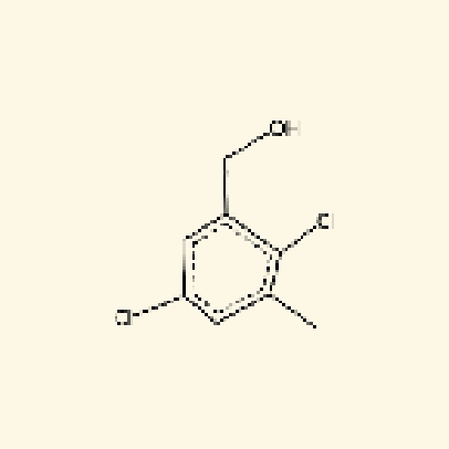 Cc1cc(Cl)cc(CO)c1Cl